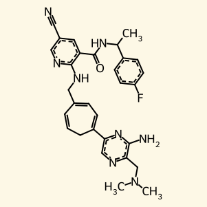 CC(NC(=O)c1cc(C#N)cnc1NCC1=CC=C(c2cnc(CN(C)C)c(N)n2)CC=C1)c1ccc(F)cc1